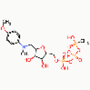 COc1ccc(N(C)CC2O[C@H](COP(=O)(O)OP(=O)(O)OP(C)(=O)O)[C@@H](O)[C@H]2O)cc1